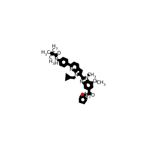 COc1cc(C(=O)N2CC3CCC2[C@@H]3N)cc2nc(-c3cc4ccc(-c5ccc(NC(=O)C(C)(C)C)cc5)nc4n3CC3CC3)n(C)c12